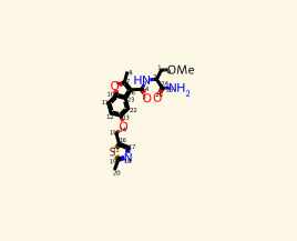 COCC(NC(=O)c1c(C)oc2ccc(OCc3cnc(C)s3)cc12)C(N)=O